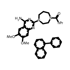 CCCC(=O)N1CCCN(c2nc(N)c3cc(OC)c(OC)cc3n2)CC1.c1ccc(-c2cccc3ccccc23)cc1